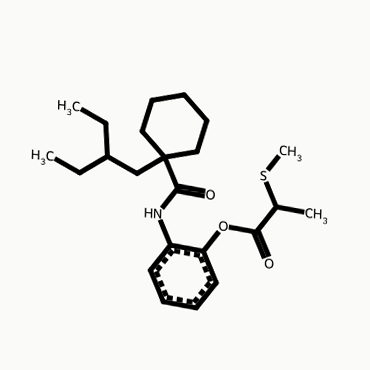 CCC(CC)CC1(C(=O)Nc2ccccc2OC(=O)C(C)SC)CCCCC1